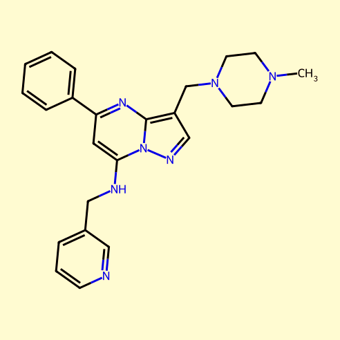 CN1CCN(Cc2cnn3c(NCc4cccnc4)cc(-c4ccccc4)nc23)CC1